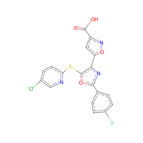 O=C(O)c1cc(-c2nc(-c3ccc(F)cc3)oc2Sc2ccc(Cl)cn2)on1